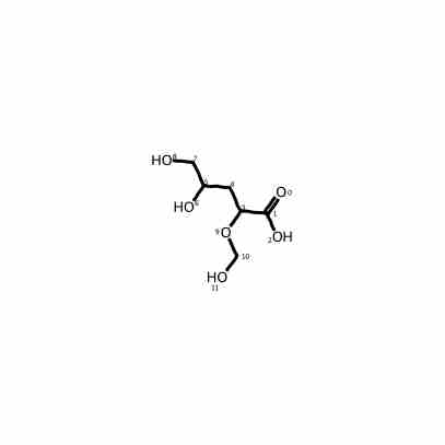 O=C(O)C(CC(O)CO)OCO